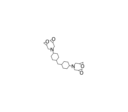 C1CC(N(CC2CO2)CC2CO2)CCC1CC1CCC(N(CC2CO2)CC2CO2)CC1